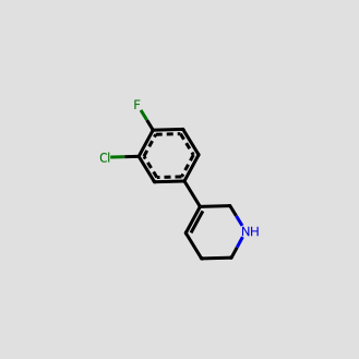 Fc1ccc(C2=CCCNC2)cc1Cl